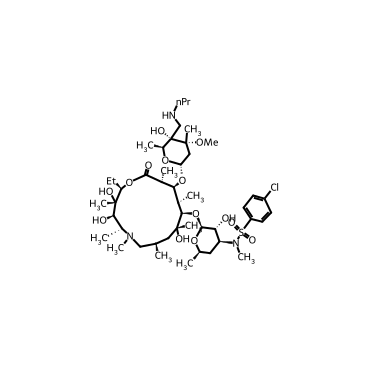 CCCNC[C@]1(O)[C@H](C)O[C@@H](O[C@H]2[C@H](C)[C@@H](O[C@@H]3O[C@H](C)C[C@H](N(C)S(=O)(=O)c4ccc(Cl)cc4)[C@H]3O)[C@](C)(O)C[C@@H](C)CN(C)[C@H](C)[C@@H](O)[C@](C)(O)[C@@H](CC)OC(=O)[C@@H]2C)C[C@@]1(C)OC